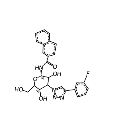 O=C(N[C@@H]1OC(CO)[C@H](O)C(n2cc(-c3cccc(F)c3)nn2)C1O)c1ccc2ccccc2c1